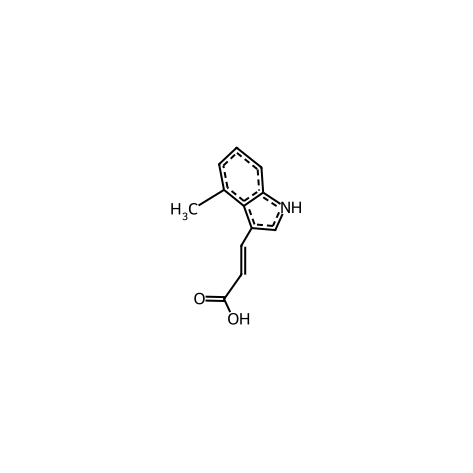 Cc1cccc2[nH]cc(C=CC(=O)O)c12